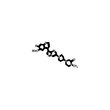 COc1cc2c(-c3cnn4cc(N5CCC(N6CCN(C)C(=O)C6)CC5)cnc34)ccnc2cc1F